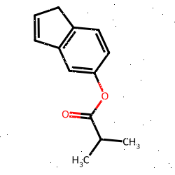 CC(C)C(=O)Oc1ccc2c(c1)C=CC2